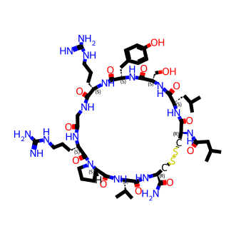 CC(C)CC(=O)N[C@H]1CSSC[C@@H](C(N)=O)NC(=O)[C@H](C(C)C)NC(=O)[C@@H]2CCCN2C(=O)[C@H](CCCNC(=N)N)NC(=O)CNC(=O)[C@H](CCCNC(=N)N)NC(=O)[C@H](Cc2ccc(O)cc2)NC(=O)[C@H](CO)NC(=O)[C@H](CC(C)C)NC1=O